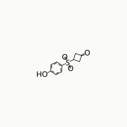 O=C1CC(S(=O)(=O)c2ccc(O)cc2)C1